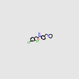 O=C(Cc1ccc(Cl)cc1Cl)Nc1cccc(CN2CCCCC2)c1